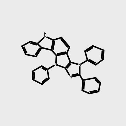 c1ccc(-c2nc3c(c4ccc5[nH]c6ccccc6c5c4n3-c3ccccc3)n2-c2ccccc2)cc1